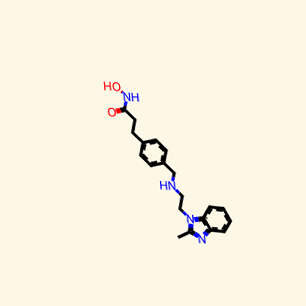 Cc1nc2ccccc2n1CCNCc1ccc(CCC(=O)NO)cc1